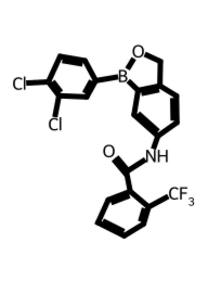 O=C(Nc1ccc2c(c1)B(c1ccc(Cl)c(Cl)c1)OC2)c1ccccc1C(F)(F)F